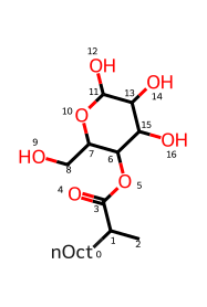 CCCCCCCCC(C)C(=O)OC1C(CO)OC(O)C(O)C1O